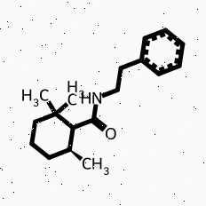 C[C@H]1CCCC(C)(C)C1C(=O)NCCc1ccccc1